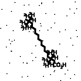 [2H]C([2H])([2H])C(C)(CCCCCCCCCCCCC(CC(=O)O)(C([2H])([2H])[2H])C([2H])([2H])[2H])C([2H])([2H])[2H]